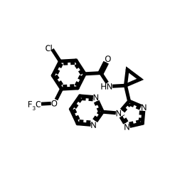 O=C(NC1(c2ncnn2-c2ncccn2)CC1)c1cc(Cl)cc(OC(F)(F)F)c1